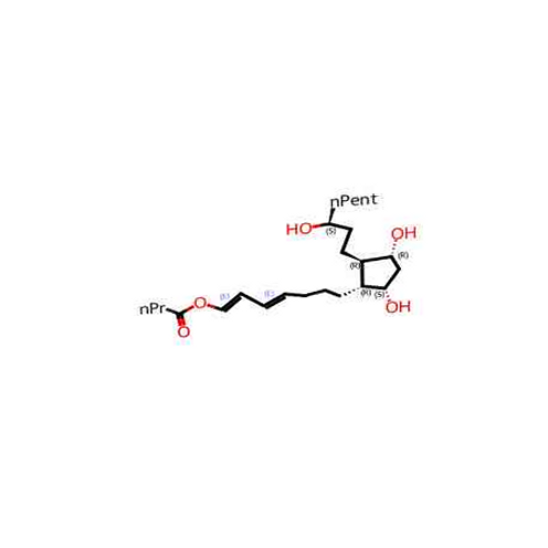 CCCCC[C@H](O)CC[C@@H]1[C@@H](CCC/C=C/C=C/OC(=O)CCC)[C@@H](O)C[C@H]1O